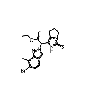 CCOC(=O)[C@@H](c1[nH]c(=S)n2c1CCC2)n1cc2ccc(Br)c(F)c2n1